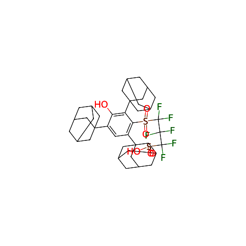 O=S(=O)(O)C(F)(F)C(F)(F)C(F)(F)S(=O)(=O)c1c(C23CC4CC(CC(C4)C2)C3)cc(C23CC4CC(CC(C4)C2)C3)c(O)c1C12CC3CC(CC(C3)C1)C2